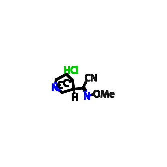 CO/N=C(\C#N)[C@H]1CN2CCC1CC2.Cl